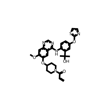 C=CC(=O)N1CCC(Oc2cc3c(Nc4ccc(Oc5nccs5)cc4C(C)(C)O)ncnc3cc2OC)CC1